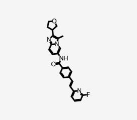 Cc1c(C2CCOC2)nc2ccc(NC(=O)c3ccc(C=Cc4cccc(F)n4)cc3)cn12